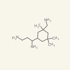 CC1(C)CC(C(N)CCN)CC(C)(CN)C1